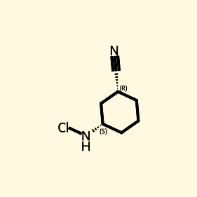 N#C[C@@H]1CCC[C@H](NCl)C1